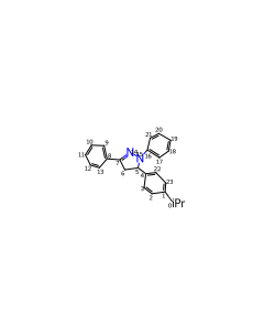 CC(C)c1ccc(C2CC(c3ccccc3)=NN2c2ccccc2)cc1